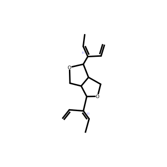 C=C/C(=C\C)C1OCC2C(/C(C=C)=C/C)OCC12